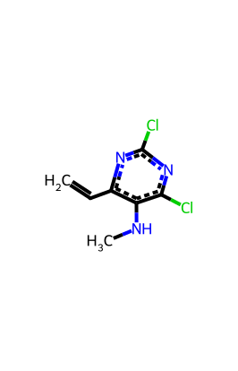 C=Cc1nc(Cl)nc(Cl)c1NC